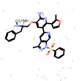 Cc1occc1-c1nc(N)c(OC[C@@](Cc2ccccc2)(NC(=O)O)C(C)(C)C)cc1-c1cc2c(C)nn(S(=O)(=O)c3ccccc3)c2cn1